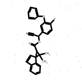 CC1(C)C(C(=O)OC(C#N)c2ccc(F)c(Oc3ccccc3)c2)C12C=Cc1ccccc12